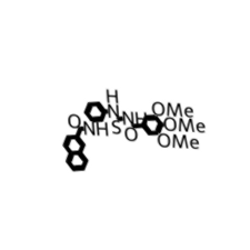 COc1cc(C(=O)NC(=S)Nc2cccc(NC(=O)c3ccc4ccccc4c3)c2)cc(OC)c1OC